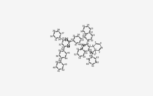 CC12C=CC=CC1c1c(-c3ccc4ccccc4c3-c3ccc(-c4nc(-c5ccccc5)cc(-c5ccc(-c6ccccc6)cc5)n4)cc3)nc3ccccc3c1N2c1ccccc1